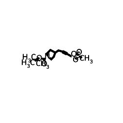 CC(C)(C)OC(=O)N1CCC(CC#CCOS(C)(=O)=O)CC1